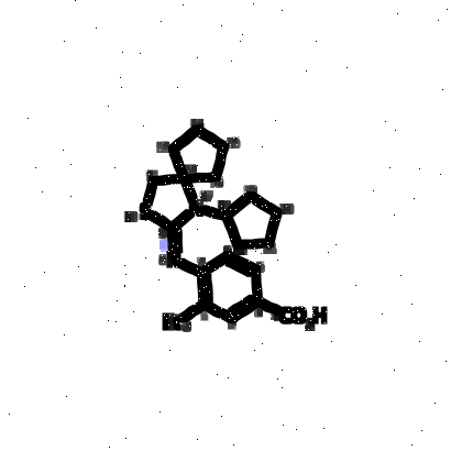 CCc1cc(C(=O)O)ccc1/N=C1/SCC2(CCCC2)N1C1CCCC1